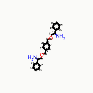 NC(COCc1ccc(COCC(N)c2ccccc2)cc1)c1ccccc1